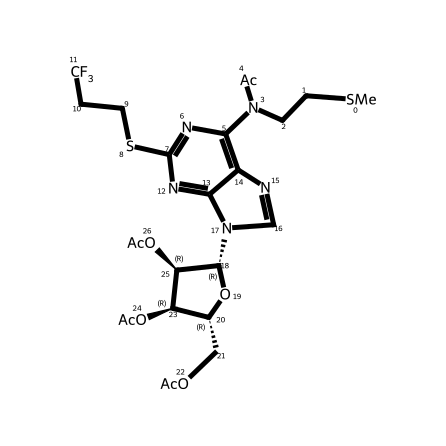 CSCCN(C(C)=O)c1nc(SCCC(F)(F)F)nc2c1ncn2[C@@H]1O[C@H](COC(C)=O)[C@@H](OC(C)=O)[C@H]1OC(C)=O